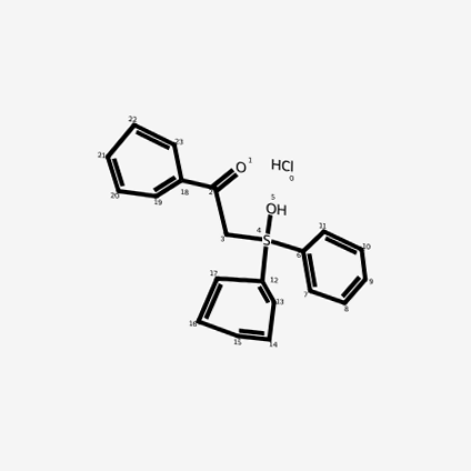 Cl.O=C(CS(O)(c1ccccc1)c1ccccc1)c1ccccc1